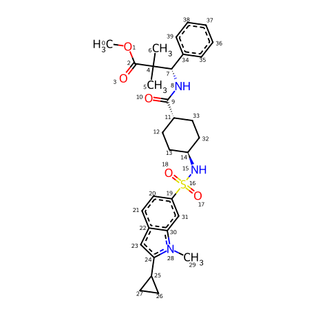 COC(=O)C(C)(C)[C@@H](NC(=O)[C@H]1CC[C@H](NS(=O)(=O)c2ccc3cc(C4CC4)n(C)c3c2)CC1)c1ccccc1